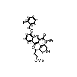 COCCCOc1cc(C(=O)N(C(C)C)[C@@H]2CCCNC2)nc2c(OCc3ccccc3F)cccc12